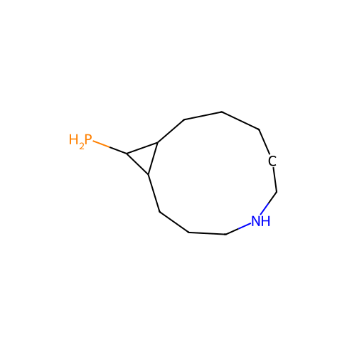 PC1C2CCCCCNCCCC12